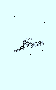 COc1ccc(-c2cnn(C3CNC3)c2)c2ncc(NC(=O)N3CCC(C)(O)CC3)nc12